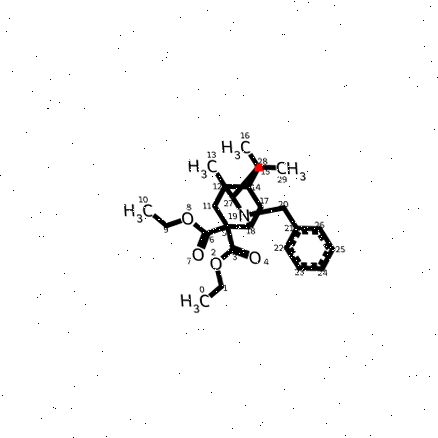 CCOC(=O)C1(C(=O)OCC)CC2(C)C(CC)CC1N(Cc1ccccc1)C2CC